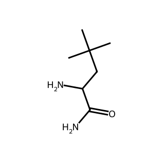 CC(C)(C)CC(N)C(N)=O